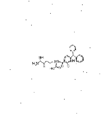 N=C(N)NCCC[C@H](NC(=O)c1ccc(C(c2ccccc2)c2ccccc2)[nH]c1=O)C(=O)O